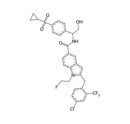 O=C(NC(CO)c1ccc(S(=O)(=O)C2CC2)cc1)c1ccc2c(c1)cc(Cc1ccc(Cl)cc1C(F)(F)F)n2CCF